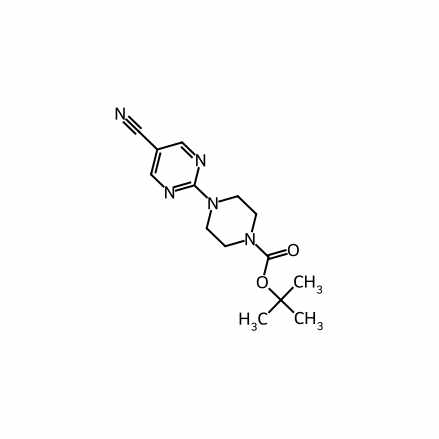 CC(C)(C)OC(=O)N1CCN(c2ncc(C#N)cn2)CC1